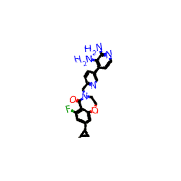 Nc1nccc(-c2ccc(CN3CCOc4cc(C5CC5)cc(F)c4C3=O)nc2)c1N